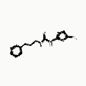 O=C(NCCCc1ccccc1)Nc1ncc([N+](=O)[O-])s1